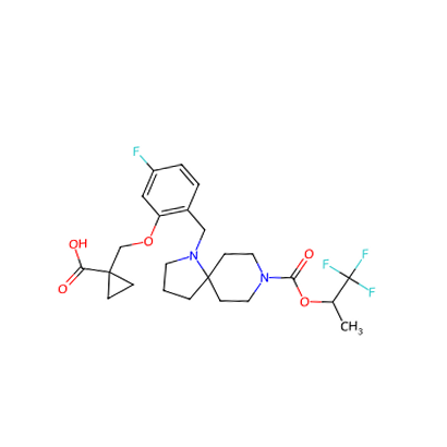 CC(OC(=O)N1CCC2(CCCN2Cc2ccc(F)cc2OCC2(C(=O)O)CC2)CC1)C(F)(F)F